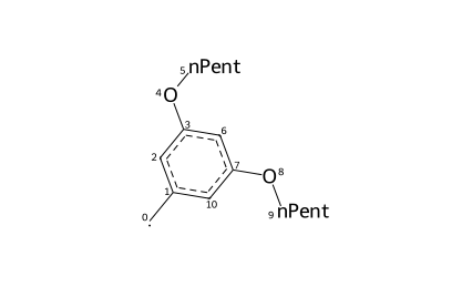 [CH2]c1cc(OCCCCC)cc(OCCCCC)c1